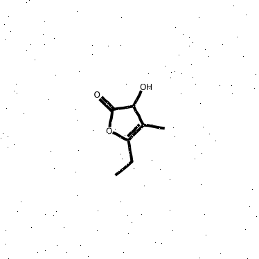 CCC1=C(C)C(O)C(=O)O1